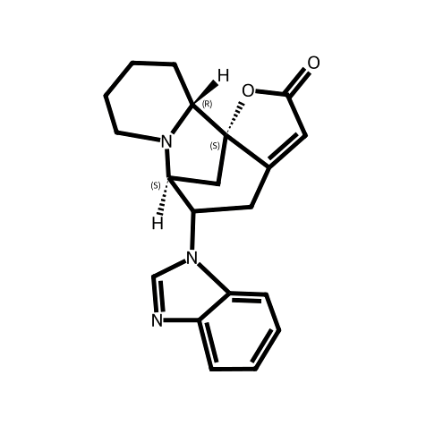 O=C1C=C2CC(n3cnc4ccccc43)[C@@H]3C[C@@]2(O1)[C@H]1CCCCN31